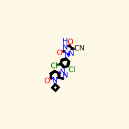 N#Cc1nn(-c2cc(Cl)c(-n3ncc4c3ccc(=O)n4C3CCC3)c(Cl)c2)c(=O)[nH]c1=O